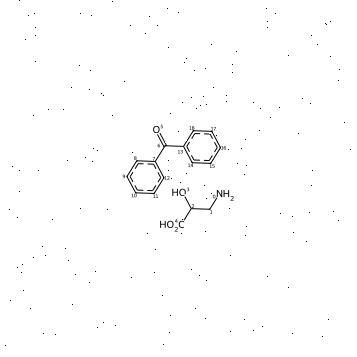 NCC(O)C(=O)O.O=C(c1ccccc1)c1ccccc1